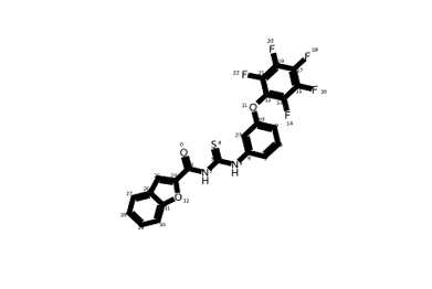 O=C(NC(=S)Nc1cccc(Oc2c(F)c(F)c(F)c(F)c2F)c1)c1cc2ccccc2o1